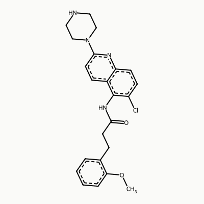 COc1ccccc1CCC(=O)Nc1c(Cl)ccc2nc(N3CCNCC3)ccc12